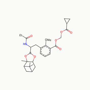 CCC(=O)NC(Cc1cccc(C(=O)OCOC(=O)C2CC2)c1OC)B1OC2CC3CC(C3(C)C)C2(C)O1